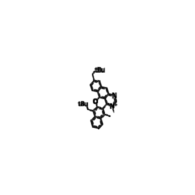 Cc1c2c(c(CC(C)(C)C)c3ccccc13)Oc1c3ccc(CC(C)(C)C)cc3cc3nc[n+](C)c-2c13